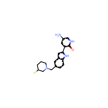 Nc1c[nH]c(=O)c(-c2cc3cc(CN4CCCC(F)C4)ccc3[nH]2)c1